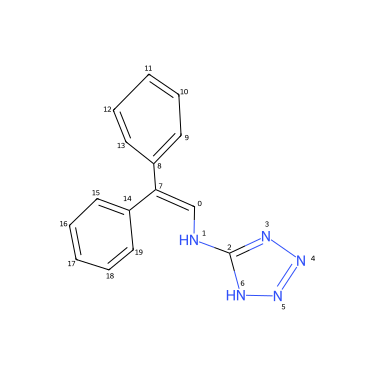 C(Nc1nnn[nH]1)=C(c1ccccc1)c1ccccc1